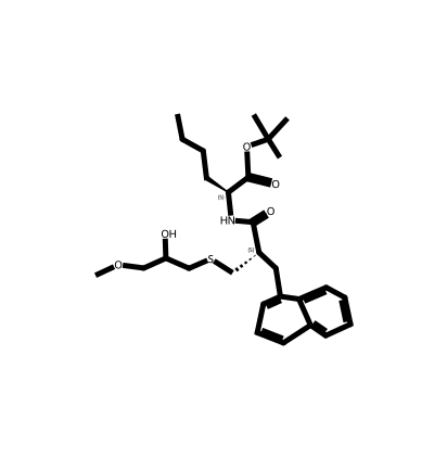 CCCC[C@H](NC(=O)[C@@H](CSCC(O)COC)Cc1cccc2ccccc12)C(=O)OC(C)(C)C